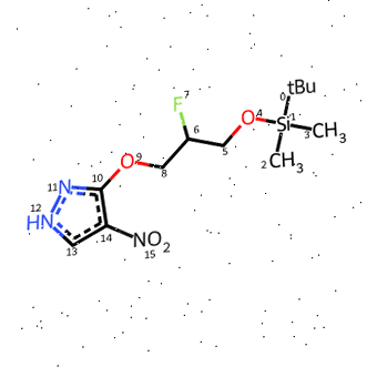 CC(C)(C)[Si](C)(C)OCC(F)COc1n[nH]cc1[N+](=O)[O-]